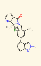 BC1(B)c2ncccc2C(=O)N1Cc1c(F)cc(-c2cccc3nn(C)cc23)cc1C(F)(F)F